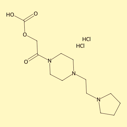 Cl.Cl.O=C(O)OCC(=O)N1CCN(CCN2CCCC2)CC1